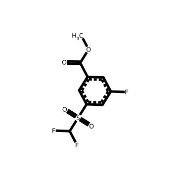 COC(=O)c1cc(F)cc(S(=O)(=O)C(F)F)c1